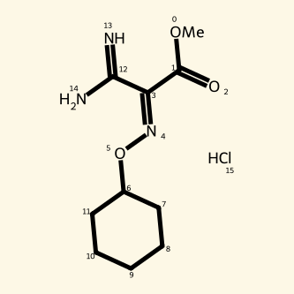 COC(=O)C(=NOC1CCCCC1)C(=N)N.Cl